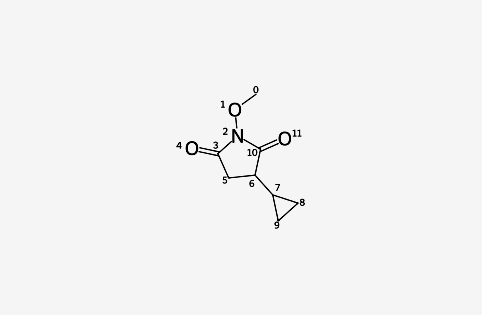 CON1C(=O)CC(C2CC2)C1=O